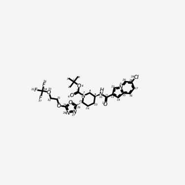 CC(C)(C)OC(=O)N1C[C@@H](NC(=O)c2cc3ccc(Cl)cn3c2)CC[C@@H]1c1nnc(OCCOC(F)(F)F)o1